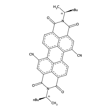 [C-]#[N+]c1cc2c3c(ccc4c5c(C#N)cc6c7c(ccc(c1c34)c75)C(=O)N([C@@H](C)CCCC)C6=O)C(=O)N([C@@H](C)CCCC)C2=O